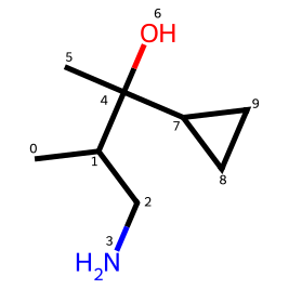 CC(CN)C(C)(O)C1CC1